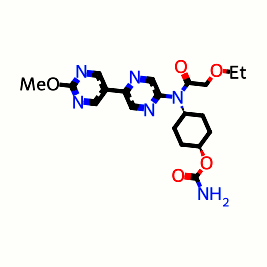 CCOCC(=O)N(c1cnc(-c2cnc(OC)nc2)cn1)[C@H]1CC[C@H](OC(N)=O)CC1